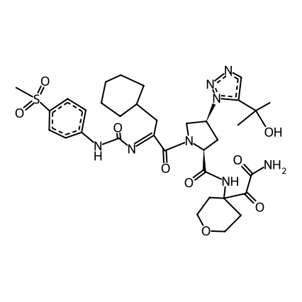 CC(C)(O)c1cnnn1[C@H]1C[C@@H](C(=O)NC2(C(=O)C(N)=O)CCOCC2)N(C(=O)/C(CC2CCCCC2)=N/C(=O)Nc2ccc(S(C)(=O)=O)cc2)C1